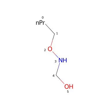 CCCCONCO